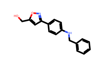 OCc1cc(-c2ccc(NCc3ccccc3)cc2)no1